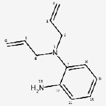 C=CCN(CC=C)c1ccccc1N